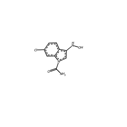 NC(=O)n1cc(NO)c2ccc(Cl)cc21